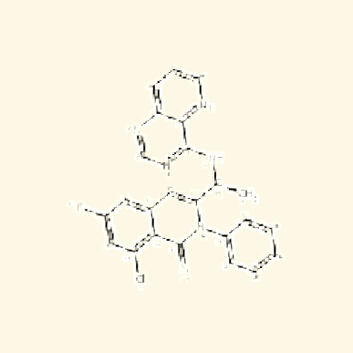 C[C@H](Nc1ncnc2cccnc12)c1cc2cc(F)cc(Cl)c2c(=O)n1-c1ccccc1